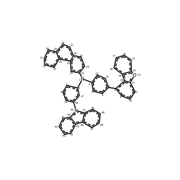 c1cc(N(c2ccc(-c3cccc4oc5ccccc5c34)cc2)c2ccc3ccc4ccccc4c3c2)cc(-n2c3ccccc3c3ccccc32)c1